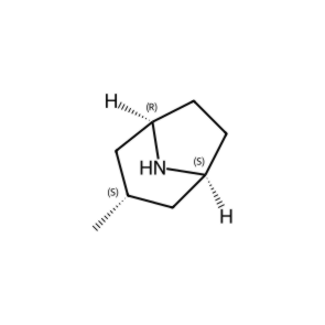 C[C@@H]1C[C@H]2CC[C@@H](C1)N2